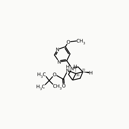 COc1cc(N2CC3C[C@@H](C2)[C@@H]3NC(=O)OC(C)(C)C)ncn1